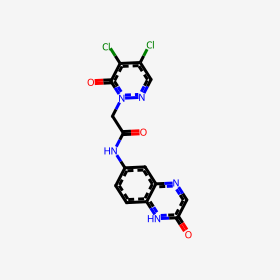 O=C(Cn1ncc(Cl)c(Cl)c1=O)Nc1ccc2[nH]c(=O)cnc2c1